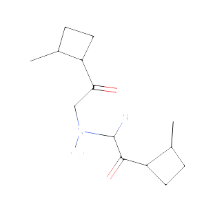 CC1CCC1C(=O)CN(C(=O)O)C(N)C(=O)C1CCC1C